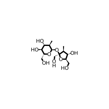 C[C@H]1[C@@H](O[C@]2(CO)O[C@H](CO)[C@@H](O)[C@@H]2C)O[C@H](CO)[C@@H](O)[C@@H]1O